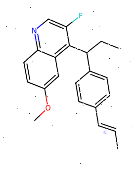 [CH2]CC(c1ccc(/C=C/C)cc1)c1c(F)cnc2ccc(OC)cc12